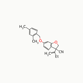 C=C(CC)C1(C#N)COc2cc(OCc3ccc(C)cc3C)ccc21